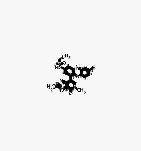 CCS(=O)(=O)Nc1ccc(Oc2ccc(F)cc2F)c(-c2cn(C)c(=O)c3oc(C)nc23)c1